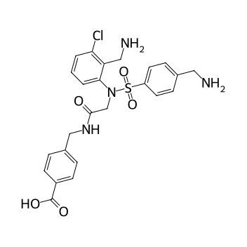 NCc1ccc(S(=O)(=O)N(CC(=O)NCc2ccc(C(=O)O)cc2)c2cccc(Cl)c2CN)cc1